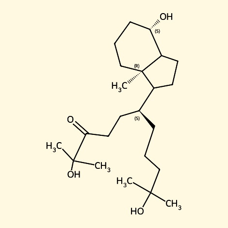 CC(C)(O)CCC[C@@H](CCC(=O)C(C)(C)O)C1CCC2[C@@H](O)CCC[C@]12C